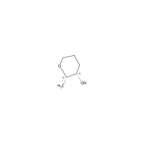 C[C@@H]1OCCC[C@@H]1O